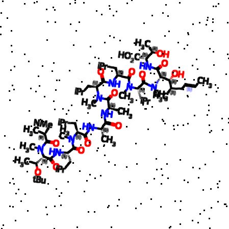 C/C=C/C[C@@H](C)[C@@H](O)[C@@H](C(=O)N[C@H](C(=O)O)[C@@H](C)O)N(C)C(=O)[C@H](C(C)C)N(C)C(=O)[C@H](CC(C)C)NC(=O)[C@H](CC(C)C)N(C)C(=O)[C@@H](C)NC(=O)[C@H](C)NC(=O)[C@H](CC(C)C)N(C)C(=O)[C@H](CC(C)C)NC(=O)[C@H](C(C)OC(C)(C)C)N(C)C(=O)[C@@H](C)NC